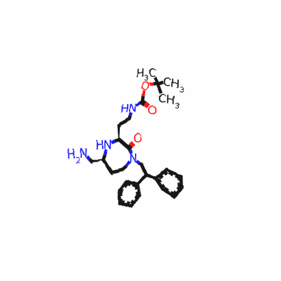 CC(C)(C)OC(=O)NCC[C@@H]1N[C@H](CN)CCN(CC(c2ccccc2)c2ccccc2)C1=O